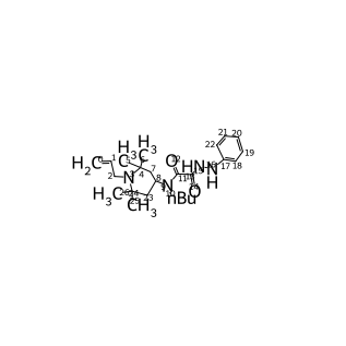 C=CCN1C(C)(C)CC(N(CCCC)C(=O)C(=O)NNc2ccccc2)CC1(C)C